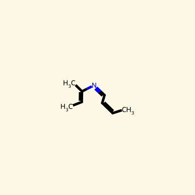 CC=C(C)/N=C\C=C/C